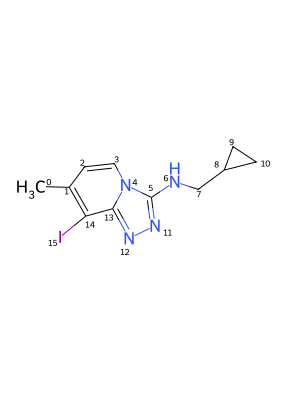 Cc1ccn2c(NCC3CC3)nnc2c1I